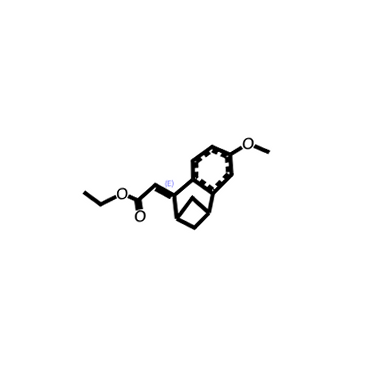 CCOC(=O)/C=C1/c2ccc(OC)cc2C2CC1C2